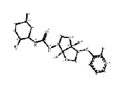 Cc1ncccc1O[C@H]1CO[C@H]2[C@@H]1OC[C@@H]2NC(=O)NC1CC(C)CCC1C(C)C